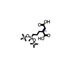 C[Si](C)(C)O[Si](C)(CCC/C(=C\C(=O)O)C(=O)O)O[Si](C)(C)C